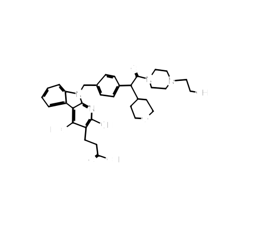 CCCN1CCN(C(=O)C(c2ccc(Cn3c4ccccc4c4c(C)c(CCC(=O)O)c(C)nc43)cc2)C2CCOCC2)CC1